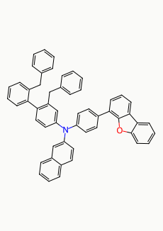 c1ccc(Cc2ccccc2-c2ccc(N(c3ccc(-c4cccc5c4oc4ccccc45)cc3)c3ccc4ccccc4c3)cc2Cc2ccccc2)cc1